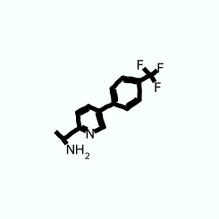 CC(N)c1ccc(-c2ccc(C(F)(F)F)cc2)cn1